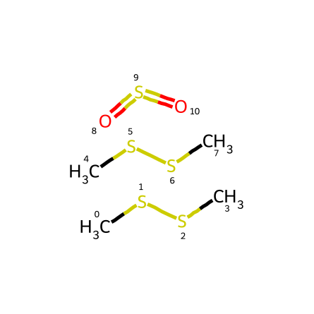 CSSC.CSSC.O=S=O